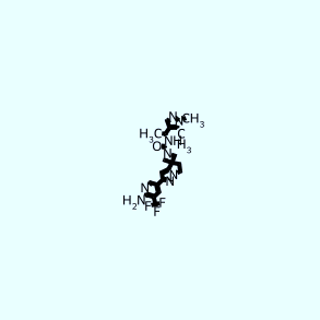 Cc1c(C(C)NC(=O)N2CC3(CCn4nc(-c5cnc(N)c(C(F)(F)F)c5)cc43)C2)cnn1C